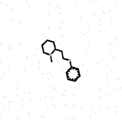 CN1CCCCC1CCOc1ccccc1